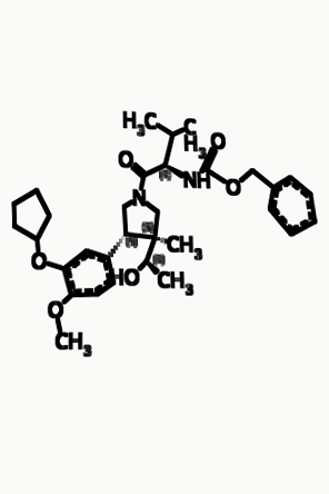 COc1ccc([C@@H]2CN(C(=O)[C@H](NC(=O)OCc3ccccc3)C(C)C)C[C@@]2(C)[C@@H](C)O)cc1OC1CCCC1